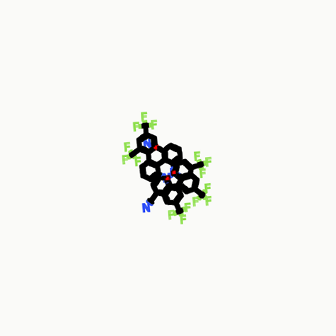 N#Cc1ccc2c(c1)c1cc(C(F)(F)F)ccc1n2-c1cccc(C#N)c1-c1c(-c2ccc(C(F)(F)F)cc2C(F)(F)F)cccc1-n1c2ccc(C(F)(F)F)cc2c2cc(C(F)(F)F)ccc21